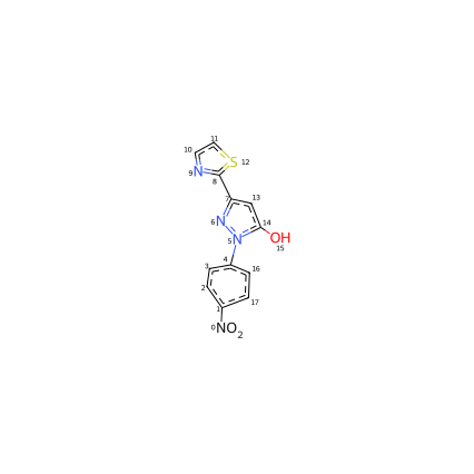 O=[N+]([O-])c1ccc(-n2nc(-c3nccs3)cc2O)cc1